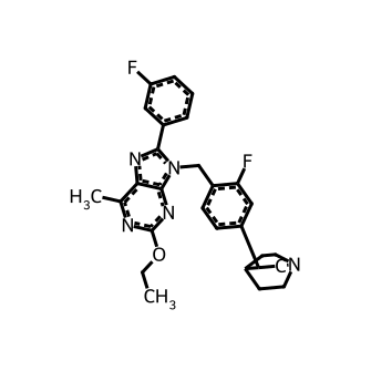 CCOc1nc(C)c2nc(-c3cccc(F)c3)n(Cc3ccc(C4CN5CCC4CC5)cc3F)c2n1